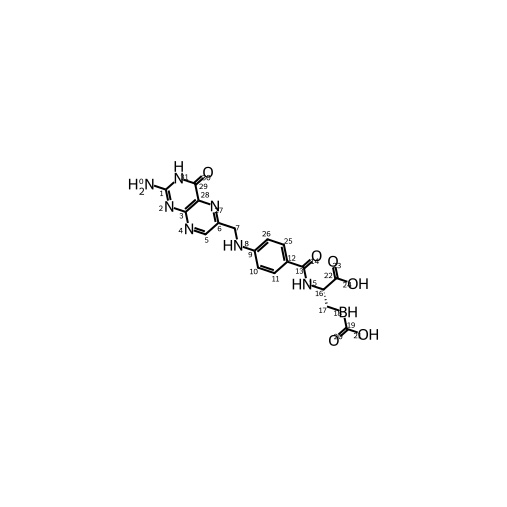 Nc1nc2ncc(CNc3ccc(C(=O)N[C@@H](CBC(=O)O)C(=O)O)cc3)nc2c(=O)[nH]1